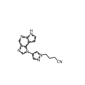 N#CCCCn1cc(-n2cnc3cnc4[nH]ccc4c32)cn1